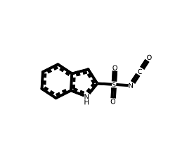 O=C=NS(=O)(=O)c1cc2ccccc2[nH]1